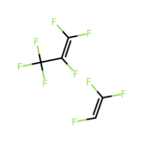 FC(F)=C(F)C(F)(F)F.FC=C(F)F